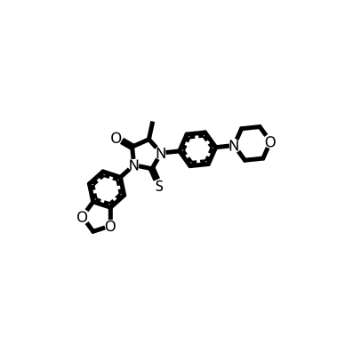 CC1C(=O)N(c2ccc3c(c2)OCO3)C(=S)N1c1ccc(N2CCOCC2)cc1